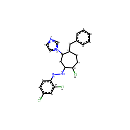 Clc1ccc(NNC2CC(n3ccnc3)C(Cc3ccccc3)CCC2Cl)c(Cl)c1